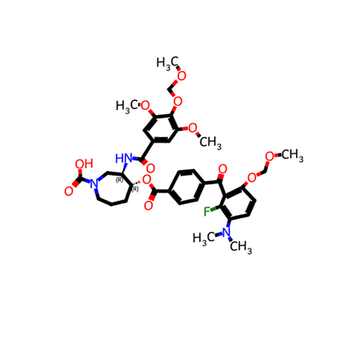 COCOc1ccc(N(C)C)c(F)c1C(=O)c1ccc(C(=O)O[C@@H]2CCCN(C(=O)O)C[C@H]2NC(=O)c2cc(OC)c(OCOC)c(OC)c2)cc1